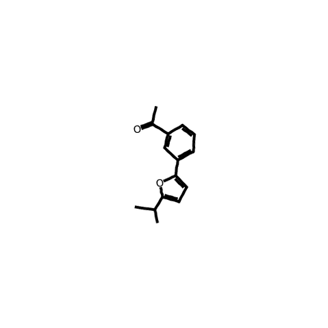 CC(=O)c1cccc(-c2ccc(C(C)C)o2)c1